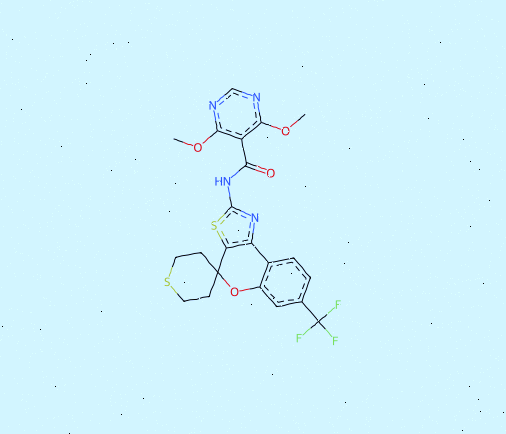 COc1ncnc(OC)c1C(=O)Nc1nc2c(s1)C1(CCSCC1)Oc1cc(C(F)(F)F)ccc1-2